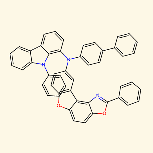 c1ccc(-c2ccc(N(c3ccc4oc5ccc6oc(-c7ccccc7)nc6c5c4c3)c3cccc4c5ccccc5n(-c5ccccc5)c34)cc2)cc1